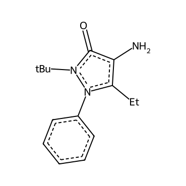 CCc1c(N)c(=O)n(C(C)(C)C)n1-c1ccccc1